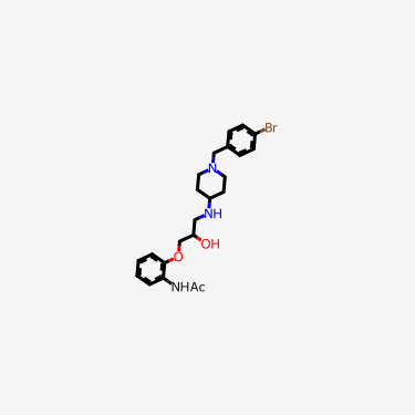 CC(=O)Nc1ccccc1OCC(O)CNC1CCN(Cc2ccc(Br)cc2)CC1